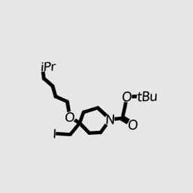 CC(C)CCCCOC1(CI)CCN(C(=O)OC(C)(C)C)CC1